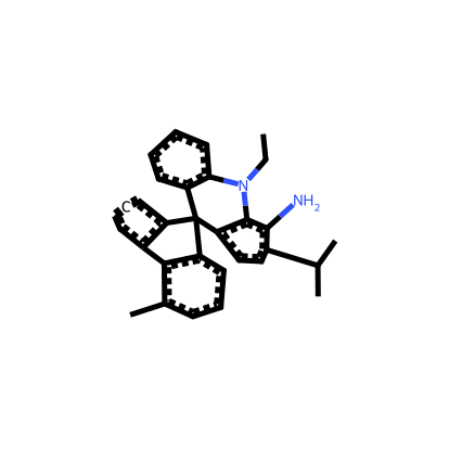 CCN1c2ccccc2C2(c3ccccc3-c3c(C)cccc32)c2ccc(C(C)C)c(N)c21